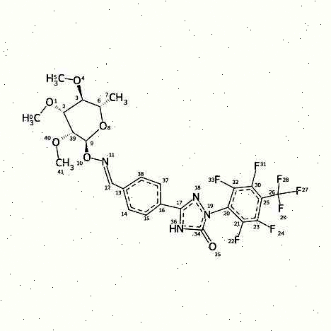 CO[C@@H]1[C@@H](OC)[C@H](C)O[C@@H](O/N=C/c2ccc(-c3nn(-c4c(F)c(F)c(C(F)(F)F)c(F)c4F)c(=O)[nH]3)cc2)[C@@H]1OC